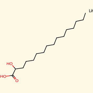 CCCCCCCCCCCCCCC(O)C(=O)O.[LiH]